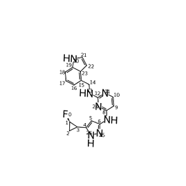 F[C@@H]1CC1c1cc(Nc2ccnc(NCc3cccc4[nH]ccc34)n2)n[nH]1